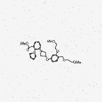 COCCOCc1ccc(OC2CN(c3cccc(C(=O)OC)c3-n3cccc3)C2)cc1OCCOC